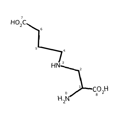 NC(CNCCCC(=O)O)C(=O)O